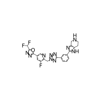 Fc1cc(-c2nnc(C(F)F)o2)cnc1Cn1nnc(-c2cccc(-c3nc4c([nH]3)CCNC4)c2)n1